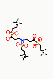 C[Si](C)(C)CCS(=O)(=O)C(=O)CCN(CCC(=O)S(=O)(=O)CC[Si](C)(C)C)S(=O)(=O)CC[Si](C)(C)C